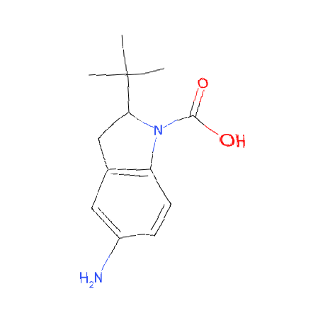 CC(C)(C)C1Cc2cc(N)ccc2N1C(=O)O